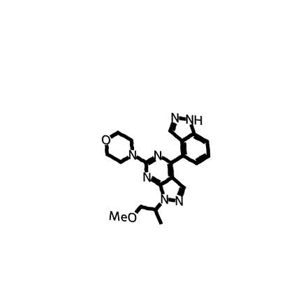 COCC(C)n1ncc2c(-c3cccc4[nH]ncc34)nc(N3CCOCC3)nc21